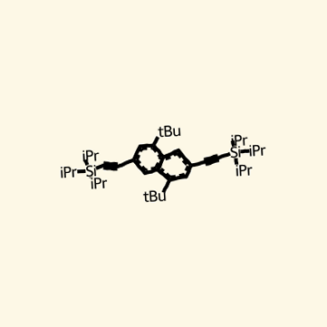 CC(C)[Si](C#Cc1cc(C(C)(C)C)c2cc(C#C[Si](C(C)C)(C(C)C)C(C)C)cc(C(C)(C)C)c2c1)(C(C)C)C(C)C